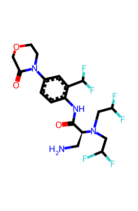 NC[C@@H](C(=O)Nc1ccc(N2CCOCC2=O)cc1C(F)F)N(CC(F)F)CC(F)F